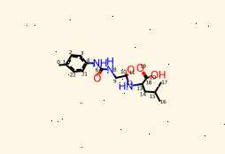 Cc1ccc(NC(=O)NCC(=O)NC(CC(C)C)C(=O)O)cc1